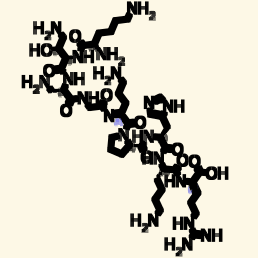 N=C(N)NCC/C=C(\NC(=O)[C@H](CCCCN)NC(=O)[C@H](Cc1cnc[nH]1)NC(=O)[C@@H]1CCCN1C(=O)/C(CCCN)=N/C(=O)CNC(=O)[C@H](CN)NC(=O)[C@@H](NC(=O)[C@@H](N)CCCCN)[C@@H](O)CN)C(=O)O